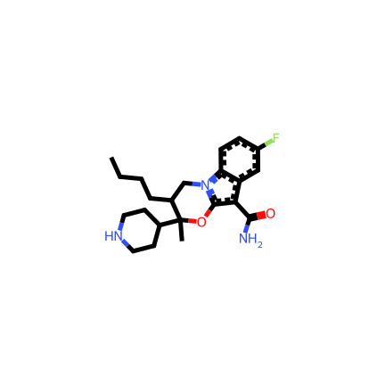 CCCCC1Cn2c(c(C(N)=O)c3cc(F)ccc32)OC1(C)C1CCNCC1